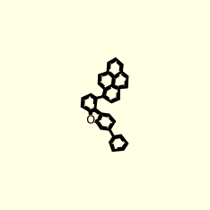 c1ccc(-c2ccc3c(c2)oc2cccc(-c4ccc5ccc6cccc7ccc4c5c67)c23)cc1